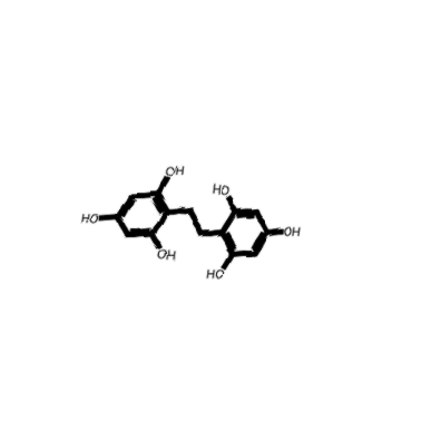 Oc1cc(O)c(CCc2c(O)cc(O)cc2O)c(O)c1